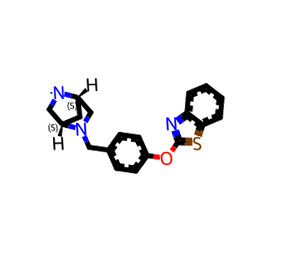 c1ccc2sc(Oc3ccc(CN4C[C@@H]5C[C@H]4C[N]5)cc3)nc2c1